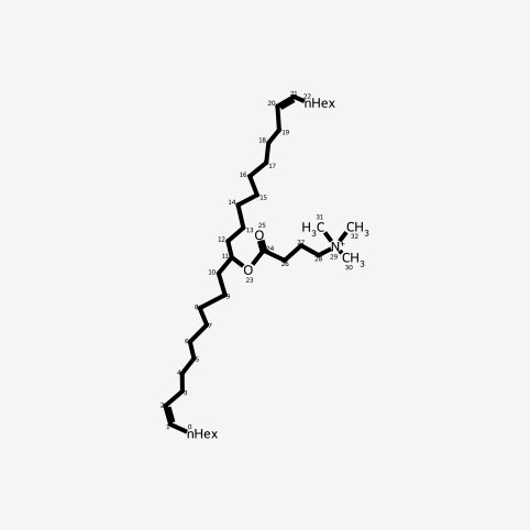 CCCCCC/C=C\CCCCCCCCC(CCCCCCCC/C=C\CCCCCC)OC(=O)CCC[N+](C)(C)C